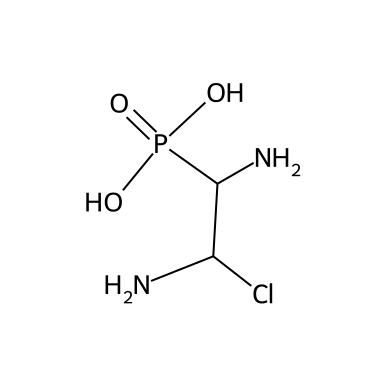 NC(Cl)C(N)P(=O)(O)O